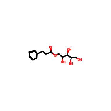 O=C(CCc1ccccc1)OC[C@H](O)[C@@H](O)[C@H](O)CO